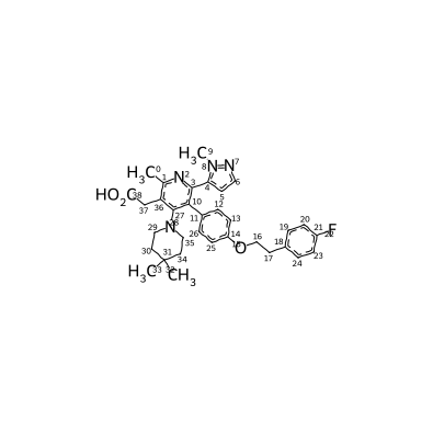 Cc1nc(-c2ccnn2C)c(-c2ccc(OCCc3ccc(F)cc3)cc2)c(N2CCC(C)(C)CC2)c1CC(=O)O